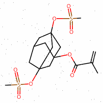 C=C(C)C(=O)OC12CC3CC(OS(C)(=O)=O)(C1)CC(OS(C)(=O)=O)(C3)C2